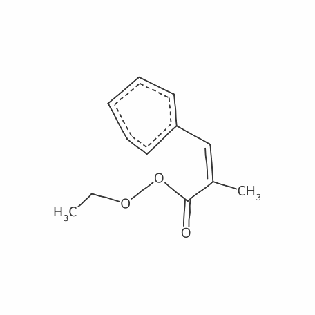 CCOOC(=O)C(C)=Cc1ccccc1